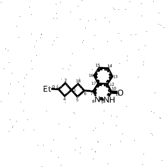 CCC1CC2(C1)CC(c1n[nH]c(=O)c3ccccc13)C2